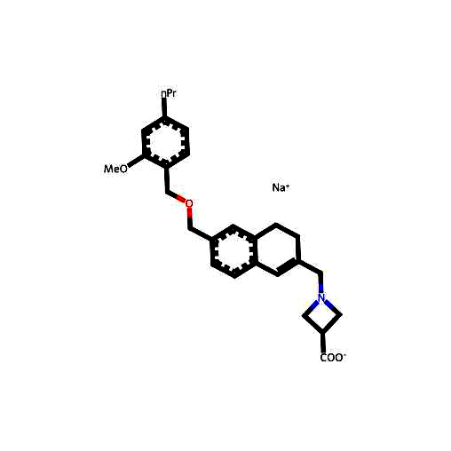 CCCc1ccc(COCc2ccc3c(c2)CCC(CN2CC(C(=O)[O-])C2)=C3)c(OC)c1.[Na+]